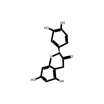 O=C1Cc2c(O)cc(O)cc2O[C@H]1c1ccc(O)c(O)c1